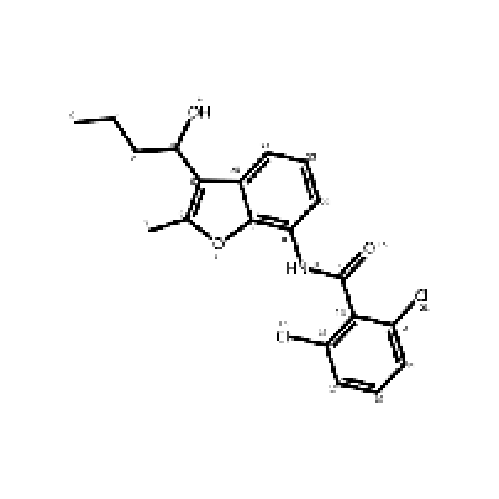 CCCC(O)c1c(C)oc2c(NC(=O)c3c(Cl)cccc3Cl)cccc12